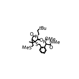 CNC(=O)C(=NOC)c1ccccc1CSC12C(=O)N(CCC(C)(C)C)C(=O)C1C2(C)CSC